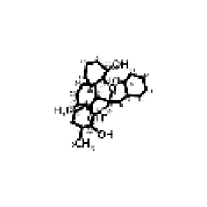 CC1CCCC(OC(CC2CCCCC2O)(OC2CCCCC2O)C2CCCC(C)C2O)C1O